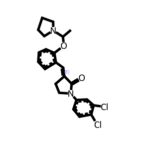 CC(Oc1ccccc1/C=C1\CCN(c2ccc(Cl)c(Cl)c2)C1=O)N1CCCC1